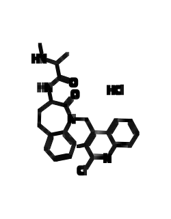 CNC(C)C(=O)NC1CCc2ccccc2N(Cc2c(C)c(Cl)nc3ccccc23)C1=O.Cl